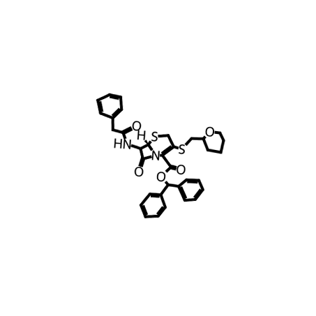 O=C(Cc1ccccc1)NC1C(=O)N2C(C(=O)OC(c3ccccc3)c3ccccc3)=C(SCC3CCCCO3)CS[C@@H]12